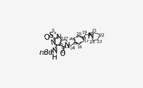 CCCCNc1nc([S+](C)[O-])nc2c1C(=O)N(Cc1ccc(CN3CCCC3)cc1)C2